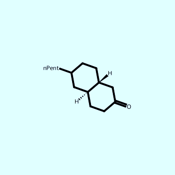 CCCCCC1CC[C@@H]2CC(=O)CC[C@H]2C1